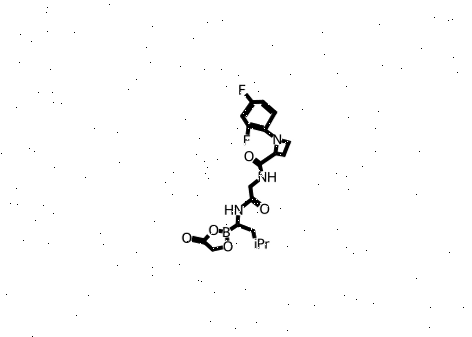 CC(C)CC(NC(=O)CNC(=O)C1CCN1c1ccc(F)cc1F)B1OCC(=O)O1